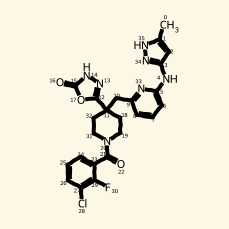 Cc1cc(Nc2cccc(CC3(c4n[nH]c(=O)o4)CCN(C(=O)c4cccc(Cl)c4F)CC3)n2)n[nH]1